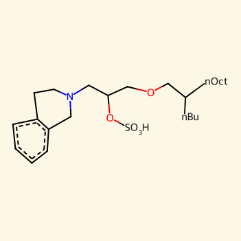 CCCCCCCCC(CCCC)COCC(CN1CCc2ccccc2C1)OS(=O)(=O)O